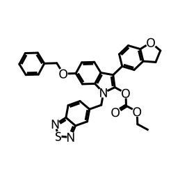 CCOC(=O)Oc1c(-c2ccc3c(c2)CCO3)c2ccc(OCc3ccccc3)cc2n1Cc1ccc2nsnc2c1